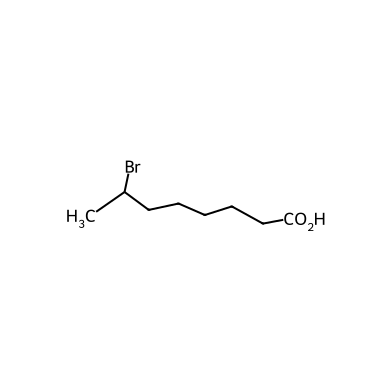 CC(Br)CCCCCC(=O)O